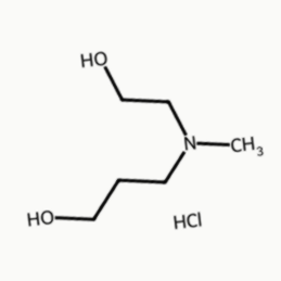 CN(CCO)CCCO.Cl